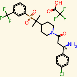 CC(C)(C1CCN(C(=O)C[C@@H](N)c2ccc(Cl)cc2)CC1)S(=O)(=O)c1cccc(C(F)(F)F)c1.O=C(O)C(F)(F)F